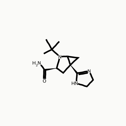 CC(C)(C)N1C2C[C@]2(C2=NCCN2)C[C@H]1C(N)=O